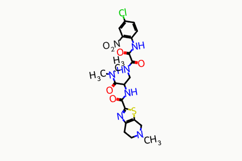 CN1CCc2nc(C(=O)NC(CNC(=O)C(=O)Nc3ccc(Cl)cc3[N+](=O)[O-])C(=O)N(C)C)sc2C1